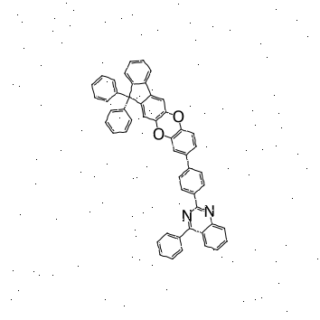 c1ccc(-c2nc(-c3ccc(-c4ccc5c(c4)Oc4cc6c(cc4O5)-c4ccccc4C6(c4ccccc4)c4ccccc4)cc3)nc3ccccc23)cc1